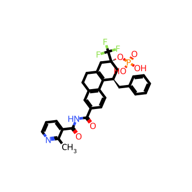 Cc1ncccc1C(=O)NC(=O)c1ccc2c(c1)CCC1=C2[C@H](Cc2ccccc2)C[C@](OP(=O)(O)O)(C(F)(F)F)C1